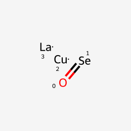 O=[Se].[Cu].[La]